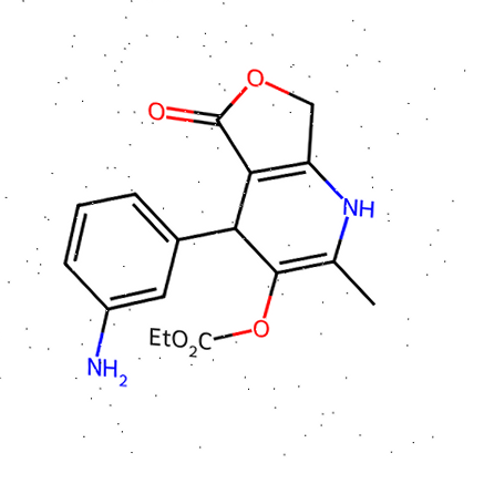 CCOC(=O)OC1=C(C)NC2=C(C(=O)OC2)C1c1cccc(N)c1